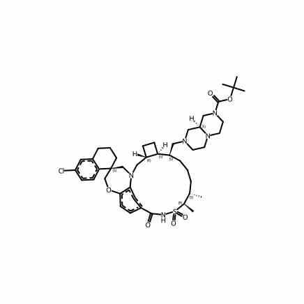 C[C@@H]1[C@@H](C)CCC[C@H](CN2CCN3CCN(C(=O)OC(C)(C)C)C[C@@H]3C2)[C@@H]2CC[C@H]2CN2C[C@@]3(CCCc4cc(Cl)ccc43)COc3ccc(cc32)C(=O)NS1(=O)=O